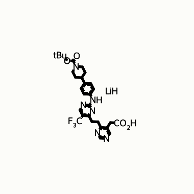 CC(C)(C)OC(=O)N1CCC(c2ccc(Nc3ncc(C(F)(F)F)c(CCc4ncncc4CC(=O)O)n3)cc2)CC1.[LiH]